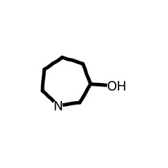 OC1CCCC[N]C1